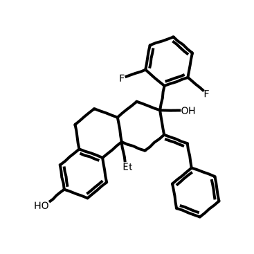 CCC12CC(=Cc3ccccc3)C(O)(c3c(F)cccc3F)CC1CCc1cc(O)ccc12